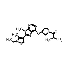 CCn1ncc(-c2nc3c(O[C@H]4CCN(C(=O)C(C)C)C4)ncnc3n2C)c1C